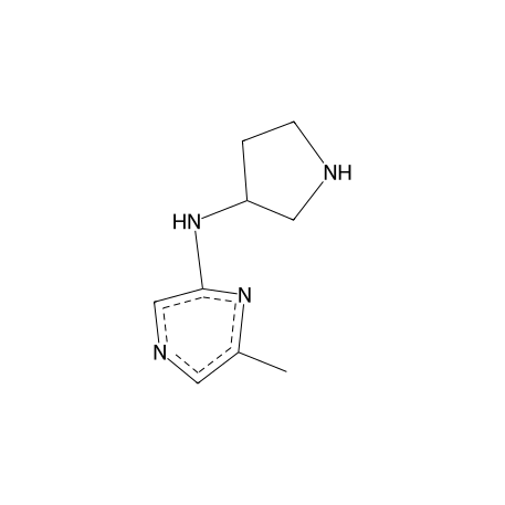 Cc1cncc(NC2CCNC2)n1